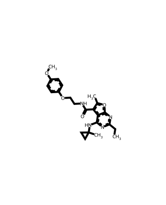 CCc1nc(NC2(C)CC2)c2c(C(=O)NCCOc3ccc(OC)cc3)c(C)oc2n1